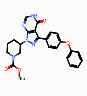 CC(C)(C)OC(=O)N1CCCC(n2nc(-c3ccc(Oc4ccccc4)cc3)c3c(=O)[nH]cnc32)C1